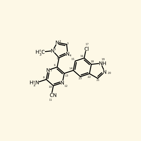 Cn1ncnc1-c1nc(N)c(C#N)nc1-c1cc(Cl)c2[nH]ncc2c1